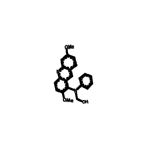 COc1ccc2cc3c(N(CO)c4ccccc4)c(OC)ccc3nc2c1